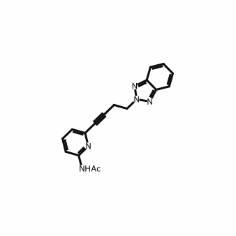 CC(=O)Nc1cccc(C#CCCn2nc3ccccc3n2)n1